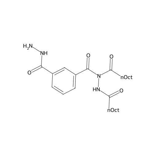 CCCCCCCCC(=O)NN(C(=O)CCCCCCCC)C(=O)c1cccc(C(=O)NN)c1